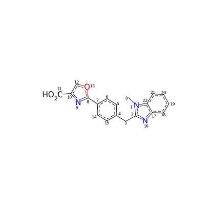 Cn1c(Cc2ccc(-c3nc(C(=O)O)co3)cc2)nc2ccccc21